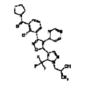 C[C@H](O)Cn1ncc(-c2onc(-c3cccc(C(=O)N4CCCC4)c3Cl)c2-c2ccncn2)c1C(F)(F)F